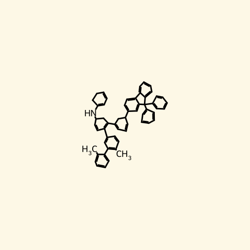 Cc1ccccc1-c1cc(C2=C(C3=CC=CC(c4ccc5c(c4)C(c4ccccc4)(c4ccccc4)c4ccccc4-5)C3)CC(NC3=CC=CCC3)C=C2)ccc1C